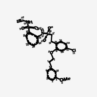 COc1cccc(CCOc2cc(Cl)ccc2CCS(=O)(=O)Nc2ccccc2S(=O)(=O)NC(C)(C)C)c1